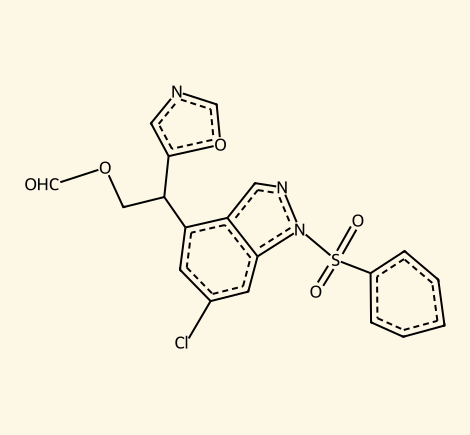 O=COCC(c1cnco1)c1cc(Cl)cc2c1cnn2S(=O)(=O)c1ccccc1